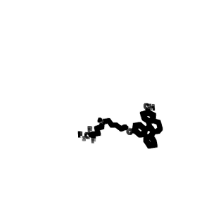 CN(CCCCCOc1ccc(C2=C(c3ccccc3)CCCc3cc(O)ccc32)cc1)CCCC(F)(F)C(F)(F)F